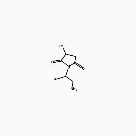 CC(=O)C(CN)N1C(=O)CC(C(C)C)C1=O